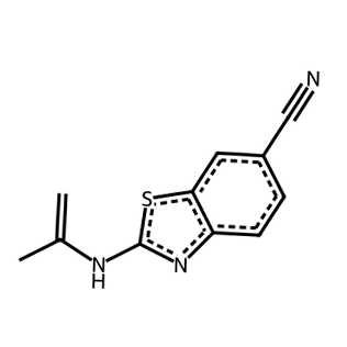 C=C(C)Nc1nc2ccc(C#N)cc2s1